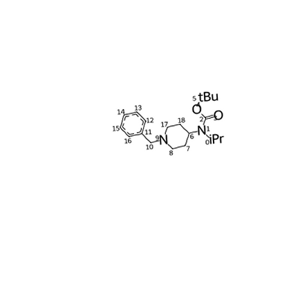 CC(C)N(C(=O)OC(C)(C)C)C1CCN(Cc2ccccc2)CC1